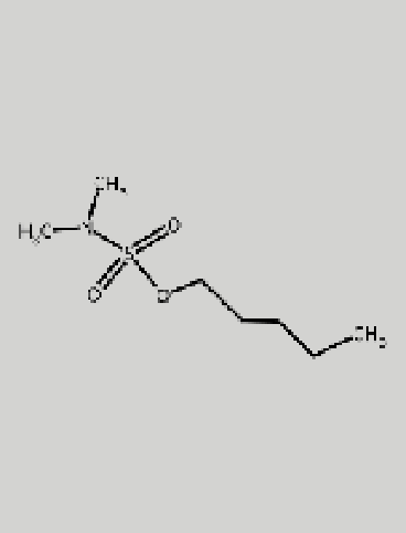 CCCCCOS(=O)(=O)N(C)C